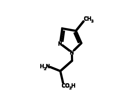 Cc1cnn(CC(N)C(=O)O)c1